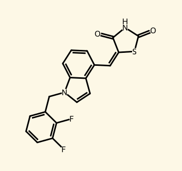 O=C1NC(=O)C(=Cc2cccc3c2ccn3Cc2cccc(F)c2F)S1